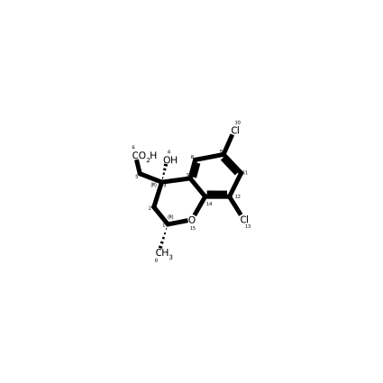 C[C@@H]1C[C@@](O)(CC(=O)O)c2cc(Cl)cc(Cl)c2O1